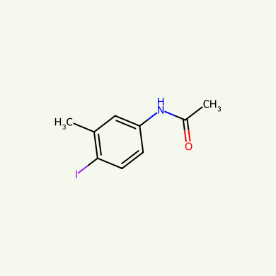 CC(=O)Nc1ccc(I)c(C)c1